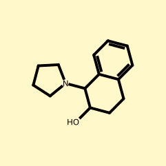 OC1CCc2ccccc2C1N1CCCC1